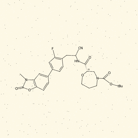 Cn1c(=O)oc2ccc(-c3ccc(CC(C#N)NC(=O)[C@@H]4CN(C(=O)OC(C)(C)C)CCCO4)c(F)c3)cc21